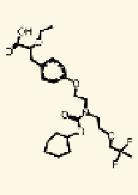 CCOC(Cc1ccc(OCCN(CCOCC(C)(F)F)C(=O)OC2CCCCC2)cc1)C(=O)O